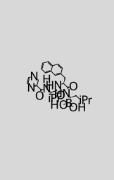 CC(C)C[C@H](NC(=O)[C@H](Cc1ccc2ccccc2c1)NC(=O)C(NC(=O)c1cnccn1)C(C)C)B(O)O